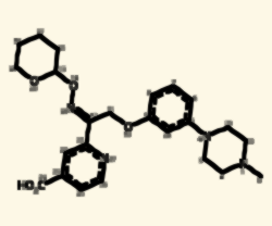 CN1CCN(c2cccc(OC/C(=N\OC3CCCCO3)c3cc(C(=O)O)ccn3)c2)CC1